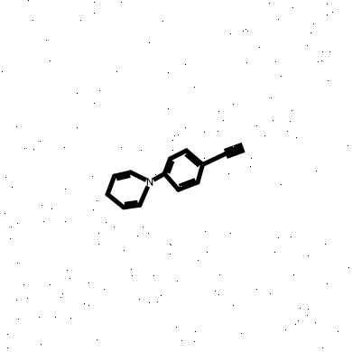 C#Cc1ccc(N2C=CCC=C2)cc1